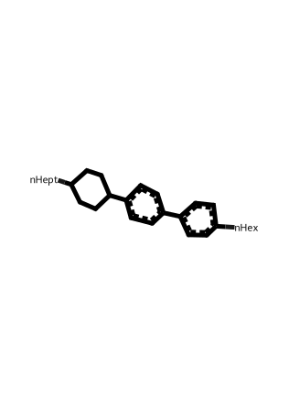 CCCCCCCC1CCC(c2ccc(-c3ccc(CCCCCC)cc3)cc2)CC1